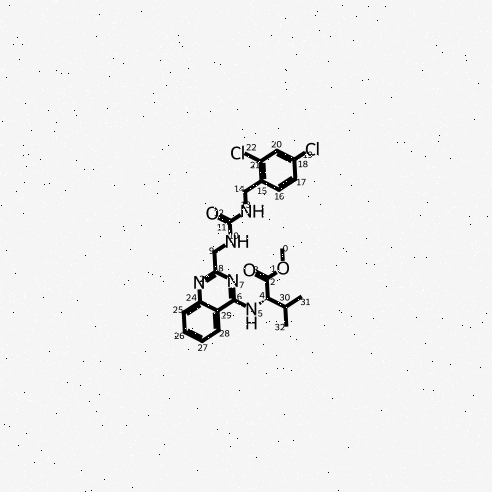 COC(=O)[C@@H](Nc1nc(CNC(=O)NCc2ccc(Cl)cc2Cl)nc2ccccc12)C(C)C